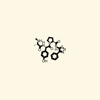 CN[C@@H](C)C(=O)N[C@H](C(=O)N1CCC[C@H]1C(=O)Nc1snnc1-c1ccccc1)c1ccc(O)cc1